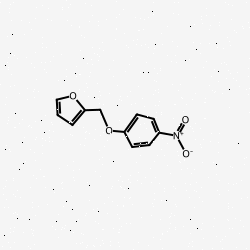 O=[N+]([O-])c1ccc(OCc2ccco2)cc1